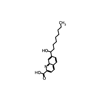 CCCCCCCCC(O)c1ccc2ccc(C(=O)O)nc2c1